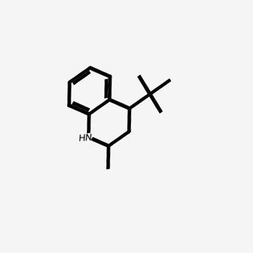 CC1CC(C(C)(C)C)c2ccccc2N1